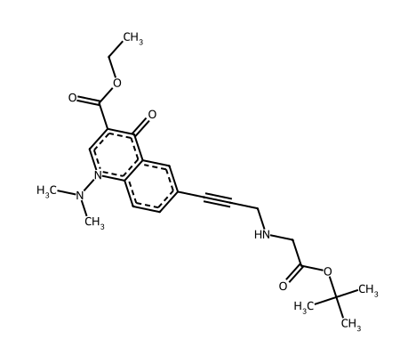 CCOC(=O)c1cn(N(C)C)c2ccc(C#CCNCC(=O)OC(C)(C)C)cc2c1=O